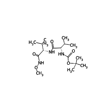 CONC(=O)[C@@H](NC(=O)[C@@H](NC(=O)OC(C)(C)C)C(C)C)C(C)C